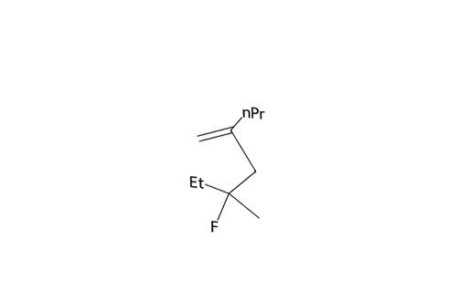 C=C(CCC)CC(C)(F)CC